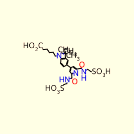 CC1=[N+](CCCCCC(=O)O)c2ccc(-c3cc(C(=O)NCCS(=O)(=O)O)nc(C(=O)NCCS(=O)(=O)O)c3)cc2C1(C)C